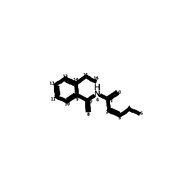 C=C(/C=C\CC)NC(=C)c1ccccc1CC